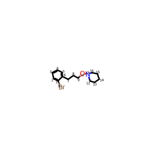 Brc1ccccc1CCCON1CCCCC1